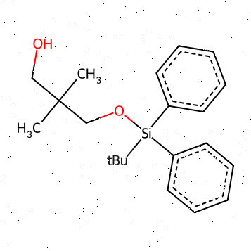 CC(C)(CO)CO[Si](c1ccccc1)(c1ccccc1)C(C)(C)C